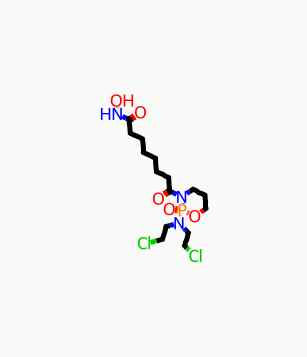 O=C(CCCCCCC(=O)N1CCCOP1(=O)N(CCCl)CCCl)NO